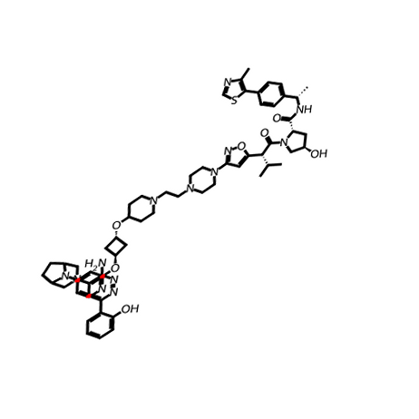 Cc1ncsc1-c1ccc([C@H](C)NC(=O)[C@@H]2C[C@@H](O)CN2C(=O)[C@@H](c2cc(N3CCN(CCN4CCC(O[C@H]5C[C@H](Oc6cc(N7C8CCC7CN(c7cc(-c9ccccc9O)nnc7N)C8)ccn6)C5)CC4)CC3)no2)C(C)C)cc1